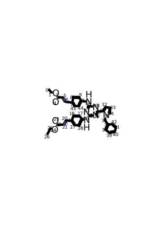 CCOC(=O)/C=C/c1ccc(Nc2nc(Nc3ccc(/C=C/C(=O)OCC)cc3)nc(-c3cccn3Cc3ccccc3)n2)cc1